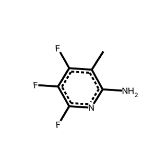 Cc1c(N)nc(F)c(F)c1F